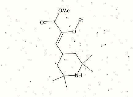 CCOC(=CC1CC(C)(C)NC(C)(C)C1)C(=O)OC